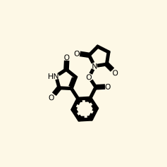 O=C1C=C(c2ccccc2C(=O)ON2C(=O)CCC2=O)C(=O)N1